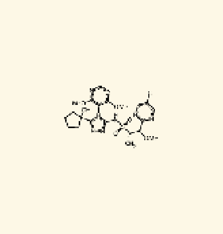 COc1ncnc(OC)c1-n1c(NS(=O)(=O)[C@@H](C)[C@H](OC)c2ncc(Cl)cn2)nnc1C1(O)CCCC1